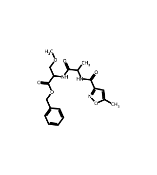 COCC(NC(=O)C(C)NC(=O)c1cc(C)on1)C(=O)OCc1ccccc1